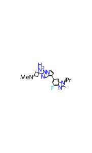 CNC1CC(N)(c2ncc3c(-c4cc(F)c5nc(C)n(C(C)C)c5c4)ccn3n2)C1